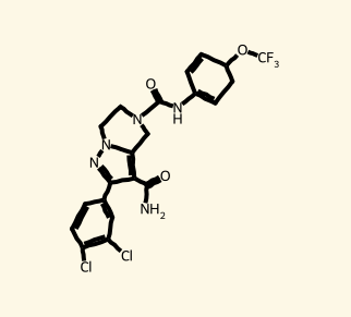 NC(=O)c1c(-c2ccc(Cl)c(Cl)c2)nn2c1CN(C(=O)NC1=CCC(OC(F)(F)F)C=C1)CC2